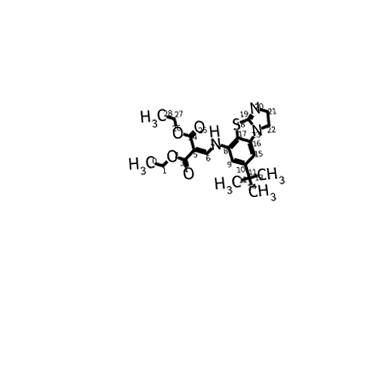 CCOC(=O)C(=CNc1cc(C(C)(C)C)cc2c1SC1=NCCN12)C(=O)OCC